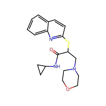 O=C(NC1CC1)C(CN1CCOCC1)Sc1ccc2ccccc2n1